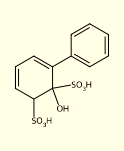 O=S(=O)(O)C1C=CC=C(c2ccccc2)C1(O)S(=O)(=O)O